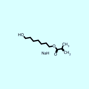 C=C(C)C(=O)OCCCCCCCO.[NaH]